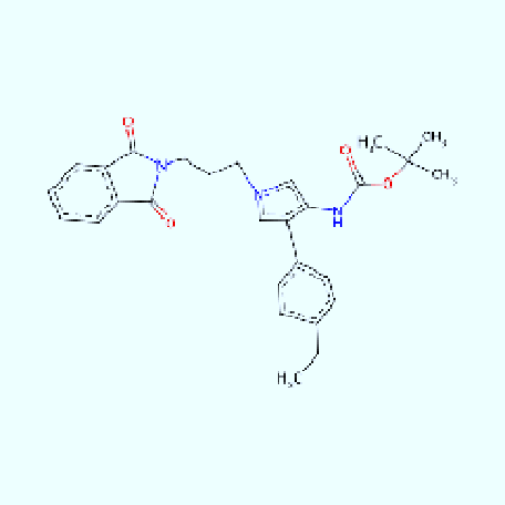 CCc1ccc(-c2cn(CCCN3C(=O)c4ccccc4C3=O)cc2NC(=O)OC(C)(C)C)cc1